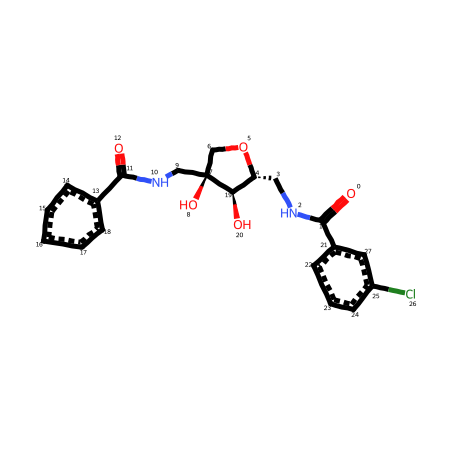 O=C(NC[C@H]1OC[C@@](O)(CNC(=O)c2ccccc2)[C@@H]1O)c1cccc(Cl)c1